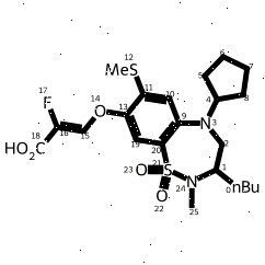 CCCCC1CN(C2CCCC2)c2cc(SC)c(O/C=C(\F)C(=O)O)cc2S(=O)(=O)N1C